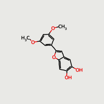 COc1cc(OC)cc(-c2cc3cc(O)c(O)cc3o2)c1